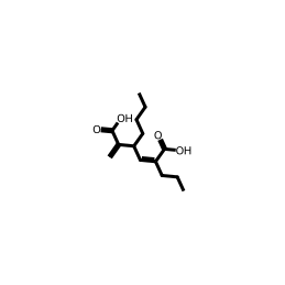 C=C(C(=O)O)C(C=C(CCC)C(=O)O)CCCC